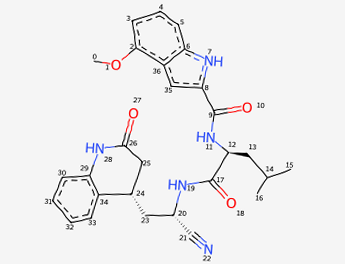 COc1cccc2[nH]c(C(=O)N[C@@H](CC(C)C)C(=O)N[C@H](C#N)C[C@H]3CC(=O)Nc4ccccc43)cc12